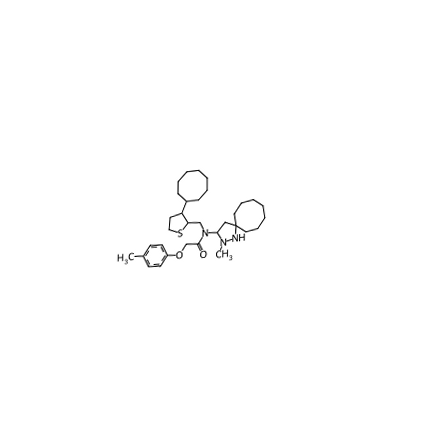 Cc1ccc(OCC(=O)N(CC2SCCC2C2CCCCCCC2)C2CC3(CCCCCCC3)NN2C)cc1